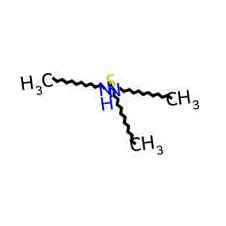 CCCCCCCCCCCCNC(=S)N(CCCCCCCCCCCC)CCCCCCCCCCCC